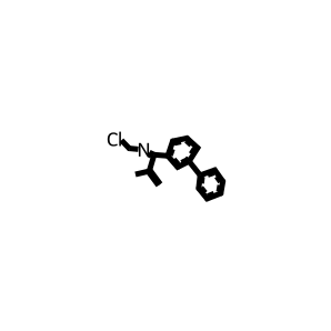 C=C(C)/C(=N\CCl)c1cccc(-c2ccccc2)c1